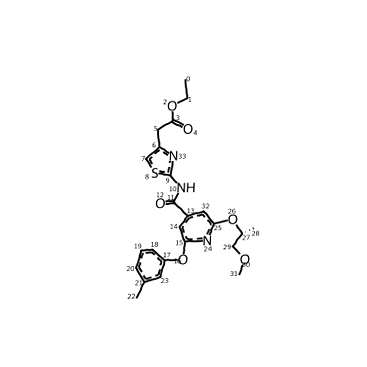 CCOC(=O)Cc1csc(NC(=O)c2cc(Oc3cccc(C)c3)nc(O[C@H](C)COC)c2)n1